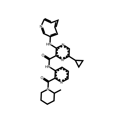 CC1CCCCN1C(=O)c1ncccc1NC(=O)c1nc(C2CC2)cnc1NC1=C/C=C/C=C/N=C\1